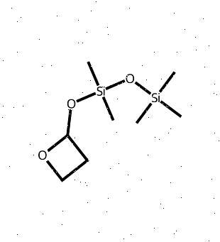 C[Si](C)(C)O[Si](C)(C)OC1CCO1